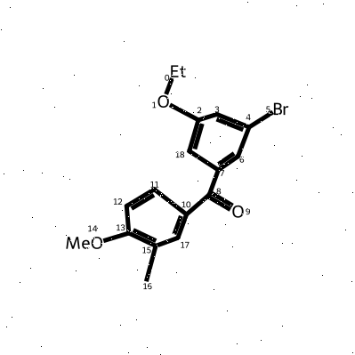 CCOc1cc(Br)cc(C(=O)c2ccc(OC)c(C)c2)c1